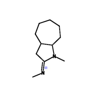 C/N=C1\CC2CCCCCC2N1C